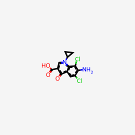 Nc1c(Cl)cc2c(=O)c(C(=O)O)cn(C3CC3)c2c1Cl